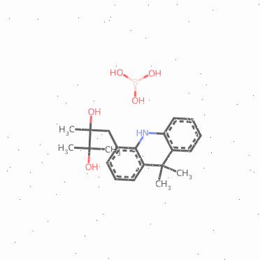 CC1(C)c2ccccc2Nc2c(CC(C)(O)C(C)(C)O)cccc21.OB(O)O